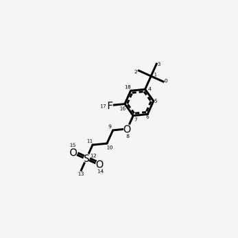 CC(C)(C)c1ccc(OCCCS(C)(=O)=O)c(F)c1